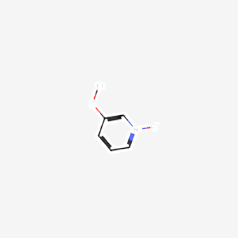 CCOc1[c][n+]([O-])ccc1